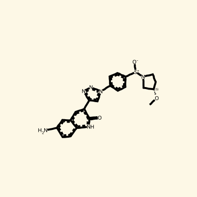 CO[C@H]1CCN([S+]([O-])c2ccc(-n3cc(-c4cc5cc(N)ccc5[nH]c4=O)nn3)cc2)C1